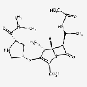 CC(NC(=O)C(=O)O)[C@H]1C(=O)N2C(C(=O)O)=C(S[C@@H]3CN[C@H](C(=O)N(C)C)C3)[C@H](C)[C@H]12